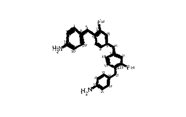 Nc1ccc(Cc2ccc(Cc3ccc(Cc4ccc(N)cc4)c(F)c3)cc2F)cc1